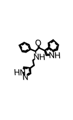 O=C(c1c[nH]c2ccccc12)[C@@H](NCCc1cn[nH]c1)c1ccccc1